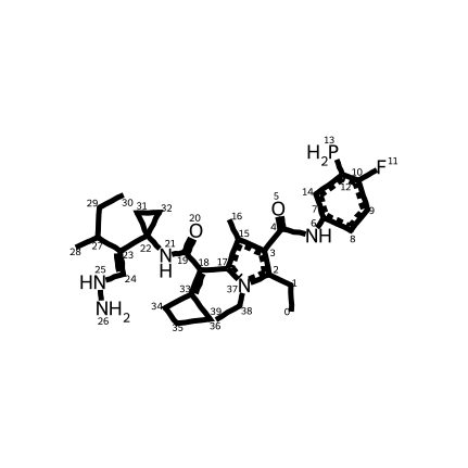 CCc1c(C(=O)Nc2ccc(F)c(P)c2)c(C)c(C(C(=O)NC2(/C(=C/NN)C(C)CC)CC2)=C2CCC2)n1CC